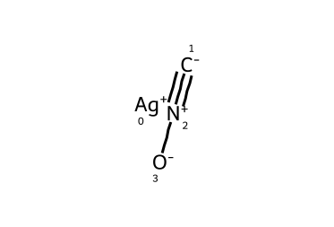 [Ag+].[C-]#[N+][O-]